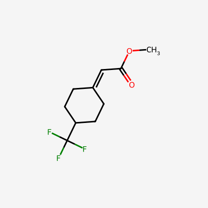 COC(=O)C=C1CCC(C(F)(F)F)CC1